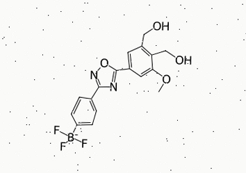 COc1cc(-c2nc(-c3ccc([B-](F)(F)F)cc3)no2)cc(CO)c1CO